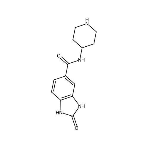 O=C(NC1CCNCC1)c1ccc2[nH]c(=O)[nH]c2c1